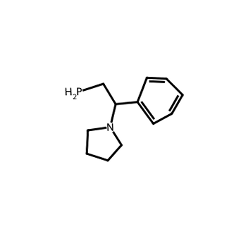 PCC(c1ccccc1)N1CCCC1